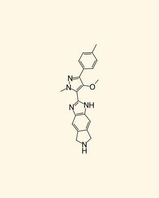 COc1c(-c2ccc(C)cc2)nn(C)c1-c1nc2cc3c(cc2[nH]1)CNC3